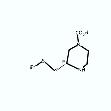 CC(C)SC[C@@H]1CN(C(=O)O)CCN1